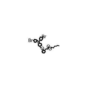 CCCCCCOC(=O)C=Cc1ccccc1OCc1ccc(N(c2ccc(Br)cc2)c2ccc(Br)cc2)cc1